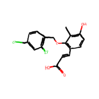 Cc1c(O)ccc(C=CC(=O)O)c1OCc1ccc(Cl)cc1Cl